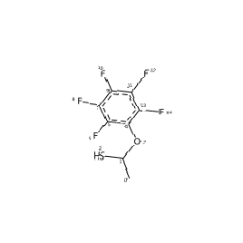 CC(S)Oc1c(F)c(F)c(F)c(F)c1F